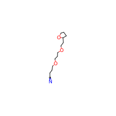 N#CCCCOCCCOCCC1CCCO1